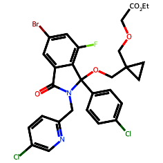 CCOC(=O)COCC1(COC2(c3ccc(Cl)cc3)c3c(F)cc(Br)cc3C(=O)N2Cc2ccc(Cl)cn2)CC1